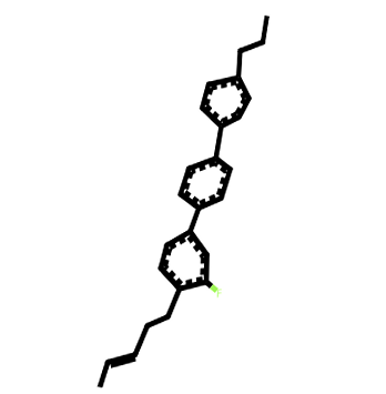 C/C=C/CCc1ccc(-c2ccc(-c3ccc(CCC)cc3)cc2)cc1F